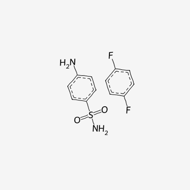 Fc1ccc(F)cc1.Nc1ccc(S(N)(=O)=O)cc1